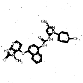 CC1C=CC=C(n2nc(C(C)(C)C)cc2NC(=O)Nc2ccc(Oc3ccnc4[nH]c(=O)n(C)c34)c3ccccc23)C=C1